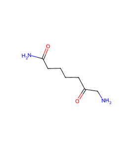 NCC(=O)CCCCC(N)=O